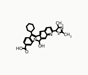 CC1=NC(C)C(c2ccc3cc4c(cc3n2)C(O)n2c-4c(C3CCCCC3)c3ccc(C(=O)O)cc32)S1